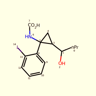 CCCC(O)C1CC1(NC(=O)O)c1ccccc1I